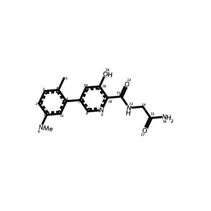 CNc1ccc(C)c(-c2cnc(C(=O)NCC(N)=O)c(O)c2)c1